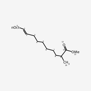 CCCCCCCCC=CCCCCCCC(C)C(=O)OC